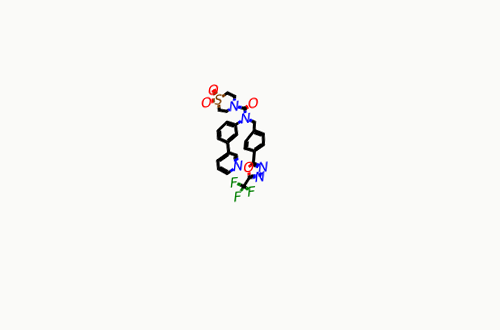 O=C(N1CCS(=O)(=O)CC1)N(Cc1ccc(-c2nnc(C(F)(F)F)o2)cc1)c1cccc(-c2cccnc2)c1